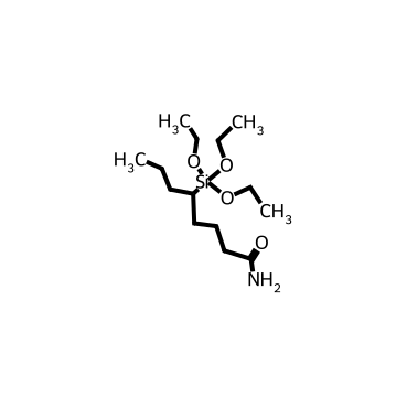 CCCC(CCCC(N)=O)[Si](OCC)(OCC)OCC